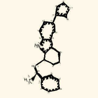 C[C@@H](NC1CCCc2c1[nH]c1ccc(-c3ccsc3)cc21)c1ccccc1